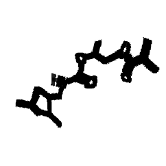 C=C(C)C(=O)OCC(C)OC(=O)NCC1CC(C)CC1C